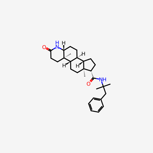 CC(C)(Cc1ccccc1)NC(=O)[C@H]1CC[C@H]2[C@@H]3CC[C@H]4NC(=O)CC[C@]4(C)[C@H]3CC[C@]12C